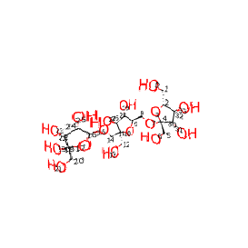 OC[C@H]1O[C@@](CO)(OC[C@H]2O[C@@](CO)(CO[C@H]3O[C@](O)(CO)[C@@H](O)[C@@H]3O)[C@@H](O)[C@@H]2O)[C@@H](O)[C@@H]1O